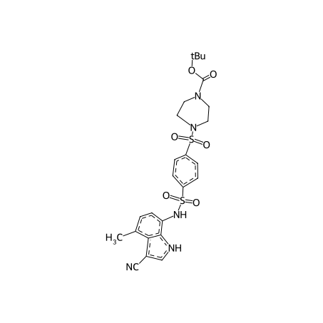 Cc1ccc(NS(=O)(=O)c2ccc(S(=O)(=O)N3CCN(C(=O)OC(C)(C)C)CC3)cc2)c2[nH]cc(C#N)c12